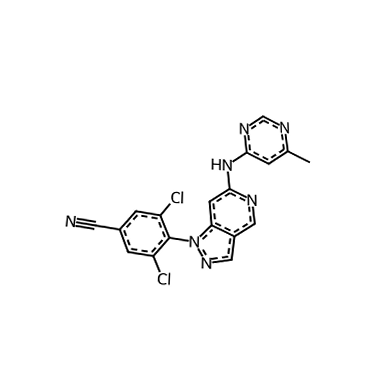 Cc1cc(Nc2cc3c(cn2)cnn3-c2c(Cl)cc(C#N)cc2Cl)ncn1